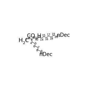 C=C(C(=O)O)C(CCCCCCCCCCCCCCCC)CCCCCCCCCCCCCCCCCCCC